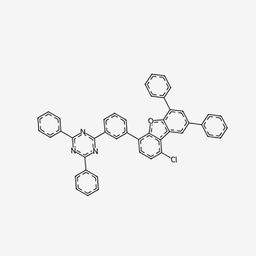 Clc1ccc(-c2cccc(-c3nc(-c4ccccc4)nc(-c4ccccc4)n3)c2)c2oc3c(-c4ccccc4)cc(-c4ccccc4)cc3c12